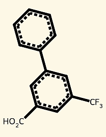 O=C(O)c1cc(-c2ccccc2)cc(C(F)(F)F)c1